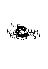 Cc1cc(CC(C)(C)Cc2ccc(C(=O)O)cc2)ccc1CC(C)(C)COC(=O)c1ccc(C(=O)O)cc1